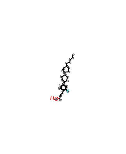 CCCCCC1CCC(C2CCC(c3ccc(CCCO)c(F)c3)CC2)CC1